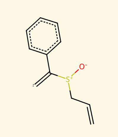 [C]=C(c1ccccc1)[S+]([O-])CC=C